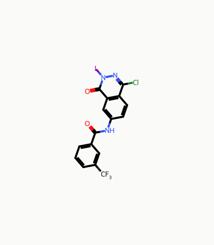 O=C(Nc1ccc2c(Cl)nn(I)c(=O)c2c1)c1cccc(C(F)(F)F)c1